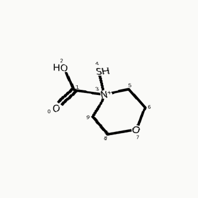 O=C(O)[N+]1(S)CCOCC1